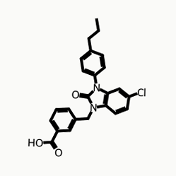 CCCc1ccc(-n2c(=O)n(Cc3cccc(C(=O)O)c3)c3ccc(Cl)cc32)cc1